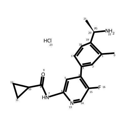 Cc1cc(-c2cc(NC(=O)C3CC3)ncc2F)ccc1[C@@H](C)N.Cl